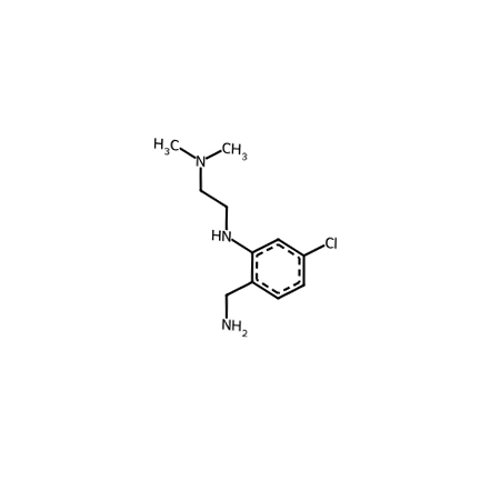 CN(C)CCNc1cc(Cl)ccc1CN